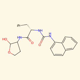 CC(C)C[C@H](NC(=O)Nc1cccc2ccccc12)C(=O)NC1CCOC1O